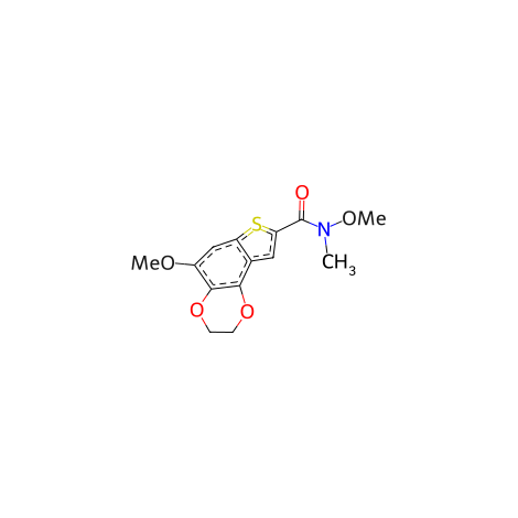 COc1cc2sc(C(=O)N(C)OC)cc2c2c1OCCO2